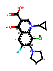 O=C(O)c1cn(C2CC2)c2c(Cl)c(N3CCCC3)c(F)cc2c1=O